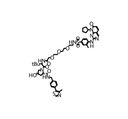 Cc1cc(S(=O)(=O)NCCOCCOCCOCC(=O)NC(C(=O)N2C[C@H](O)C[C@H]2C(=O)NCc2ccc(-c3scnc3C)cc2)C(C)(C)C)ccc1Nc1ncc2ccc(=O)n(C3CCCC3)c2n1